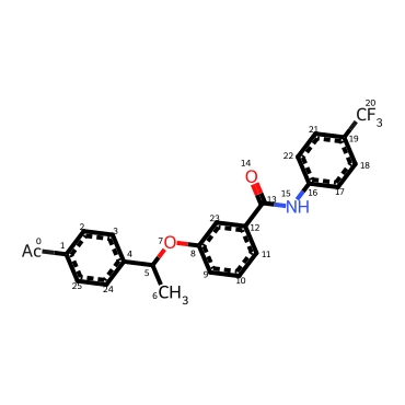 CC(=O)c1ccc(C(C)Oc2cccc(C(=O)Nc3ccc(C(F)(F)F)cc3)c2)cc1